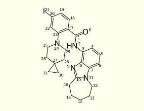 O=C(Nc1cccc2c1nc1n2CCCCC1)c1ccc(I)cc1N1CCC2(CC1)CC2